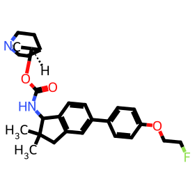 CC1(C)Cc2cc(-c3ccc(OCCF)cc3)ccc2C1NC(=O)O[C@H]1CN2CCC1CC2